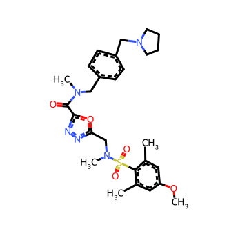 COc1cc(C)c(S(=O)(=O)N(C)Cc2nnc(C(=O)N(C)Cc3ccc(CN4CCCC4)cc3)o2)c(C)c1